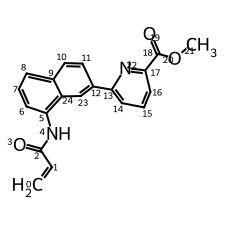 C=CC(=O)Nc1cccc2ccc(-c3cccc(C(=O)OC)n3)cc12